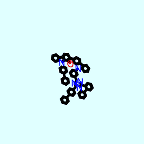 c1ccc(-c2ccc(-c3nc(-c4cccc(-n5c6ccccc6c6ccc7c8ccc9c%10ccccc%10n(-c%10ccc(-c%11ccccc%11)cc%10)c9c8oc7c65)c4)nc(-c4ccccc4-c4ccccc4)n3)cc2)cc1